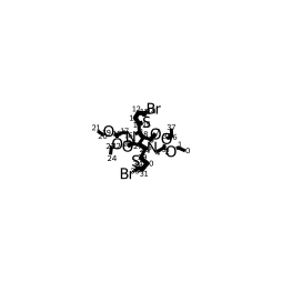 CCOC(CN1C(=O)C2=C(c3ccc(Br)s3)N(CC(OCC)OCC)C(=O)C2=C1c1ccc(Br)s1)OCC